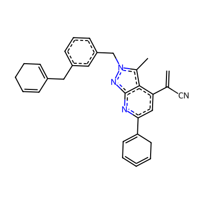 C=C(C#N)c1cc(C2=CC=C=CC2)nc2nn(Cc3cccc(CC4=CCCC=C4)c3)c(C)c12